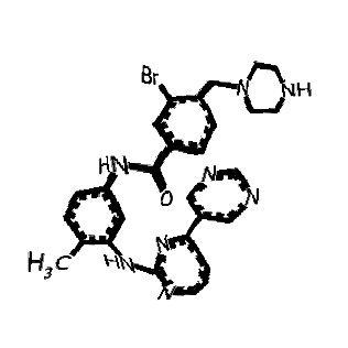 Cc1ccc(NC(=O)c2ccc(CN3CCNCC3)c(Br)c2)cc1Nc1nccc(-c2cncnc2)n1